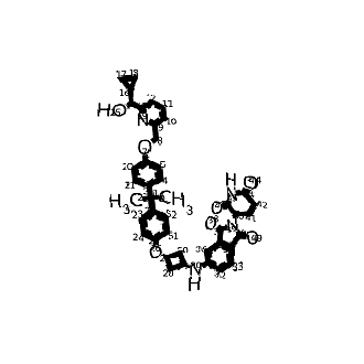 CC(C)(c1ccc(OCc2cccc(C(O)C3CC3)n2)cc1)c1ccc(O[C@H]2C[C@H](Nc3ccc4c(c3)C(=O)N(C3CCC(=O)NC3=O)C4=O)C2)cc1